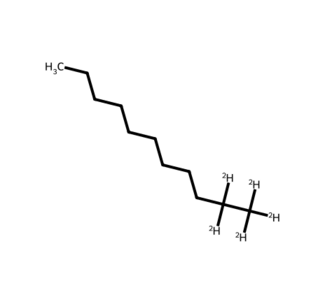 [2H]C([2H])([2H])C([2H])([2H])CCCCCCCCC